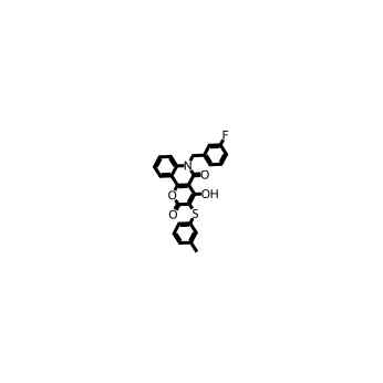 Cc1cccc(Sc2c(O)c3c(=O)n(Cc4cccc(F)c4)c4ccccc4c3oc2=O)c1